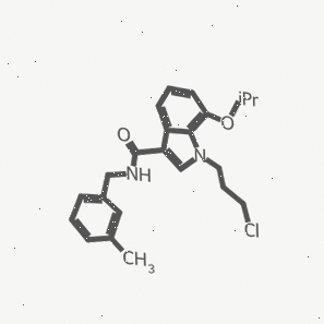 Cc1cccc(CNC(=O)c2cn(CCCCl)c3c(OC(C)C)cccc23)c1